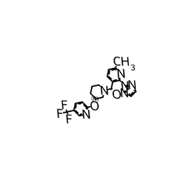 Cc1ccc(C(=O)N2CCC[C@@H](Oc3ccc(C(F)(F)F)cn3)C2)c(-n2nccn2)n1